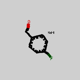 O=Cc1ccc(F)cc1.[NaH]